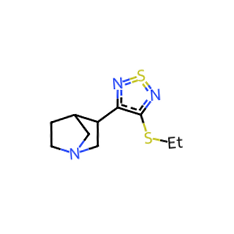 CCSc1nsnc1C1CN2CCC1C2